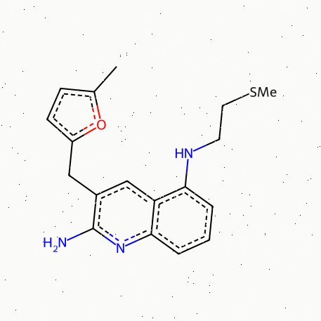 CSCCNc1cccc2nc(N)c(Cc3ccc(C)o3)cc12